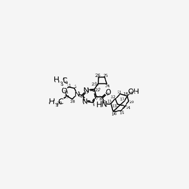 C[C@@H]1CN(c2ncc(C(=O)NC3C4CC5CC3CC(O)(C5)C4)c(C3CCC3)n2)C[C@@H](C)O1